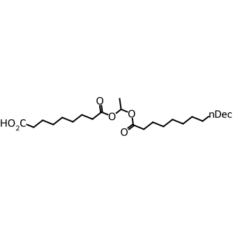 CCCCCCCCCCCCCCCCCC(=O)OC(C)OC(=O)CCCCCCCC(=O)O